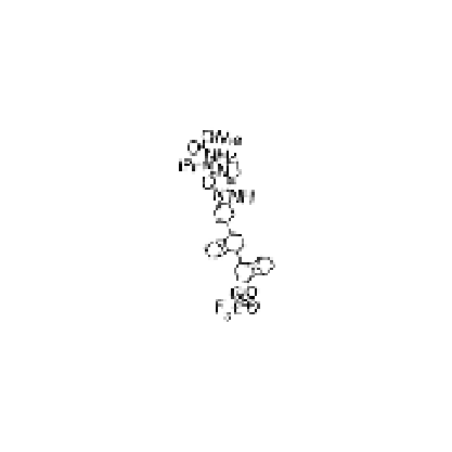 COC(=O)N[C@H](C(=O)N1C2CC2C[C@H]1C1=NC2=CC=C(C3=CC=C(c4ccc(OS(=O)(=O)C(F)(F)F)c5c4C4CCC5C4)C4C5CCC(C5)C34)CC2N1)C(C)C